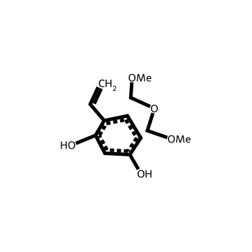 C=Cc1ccc(O)cc1O.COCOCOC